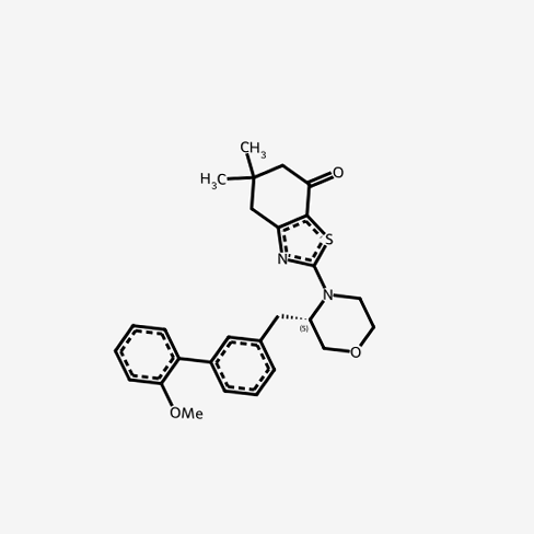 COc1ccccc1-c1cccc(C[C@H]2COCCN2c2nc3c(s2)C(=O)CC(C)(C)C3)c1